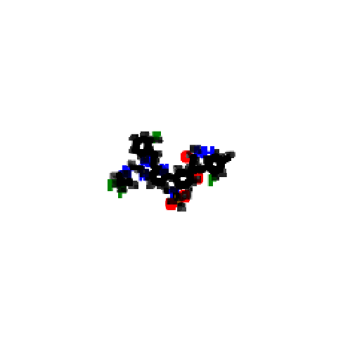 CNC(=O)c1c(-c2ccc(C)cc2F)oc2cc(N(C)S(C)(=O)=O)c(-c3ccc4nc(CN5CC(F)(F)C5)n5c6cccc(F)c6cc5c4n3)cc12